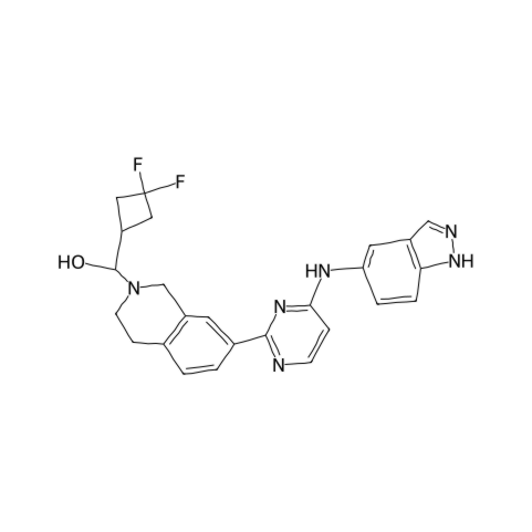 OC(C1CC(F)(F)C1)N1CCc2ccc(-c3nccc(Nc4ccc5[nH]ncc5c4)n3)cc2C1